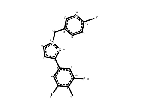 Cc1c(F)cc(-c2ccn(Cc3ccc(F)nc3)n2)cc1F